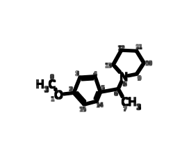 COc1ccc(C(C)N2CCCCC2)cc1